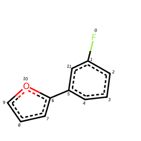 Fc1cccc(-c2ccco2)c1